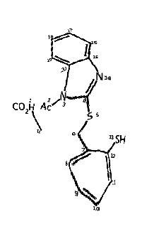 CC(=O)O.CC(=O)n1c(SCc2ccccc2S)nc2ccccc21